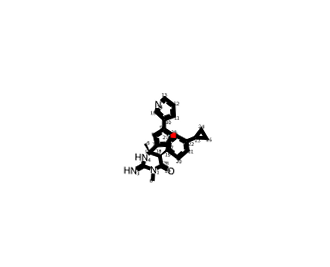 CN1C(=N)N[C@](C)(c2cc(-c3cccnc3)cs2)[C@@H](c2ccc(C3CC3)cc2)C1=O